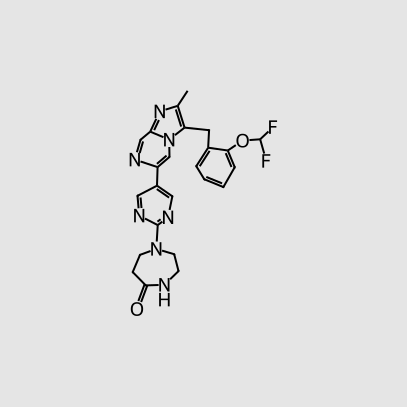 Cc1nc2cnc(-c3cnc(N4CCNC(=O)CC4)nc3)cn2c1Cc1ccccc1OC(F)F